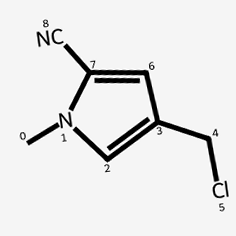 Cn1cc(CCl)cc1C#N